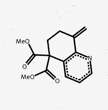 C=C1CCC(C(=O)OC)(C(=O)OC)c2cccnc21